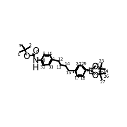 CC(C)(C)OC(=O)Nc1ccc(CCCCc2ccc(B3OC(C)(C)C(C)(C)O3)cc2)cc1